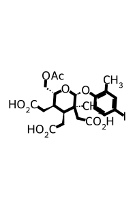 CC(=O)OC[C@@H]1O[C@H](Oc2ccc(I)cc2C)[C@@](C)(CC(=O)O)[C@@H](CC(=O)O)[C@H]1CC(=O)O